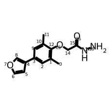 Cc1cc(-c2ccoc2)cc(C)c1OCC(=O)NN